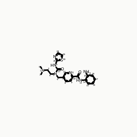 CN(C)CCN(Cc1ccc(C(=O)Nc2ccccc2N)nc1)C(=O)Nc1nccs1